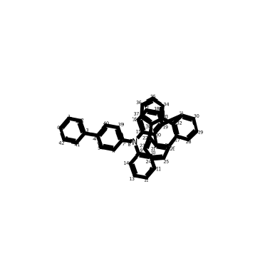 c1ccc(-c2ccc(N(c3ccccc3)c3cccc4c3-c3c5cccc3-c3cccc-4c3-c3ccccc3-5)cc2)cc1